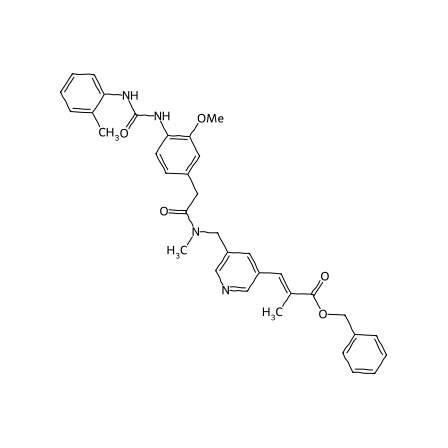 COc1cc(CC(=O)N(C)Cc2cncc(/C=C(\C)C(=O)OCc3ccccc3)c2)ccc1NC(=O)Nc1ccccc1C